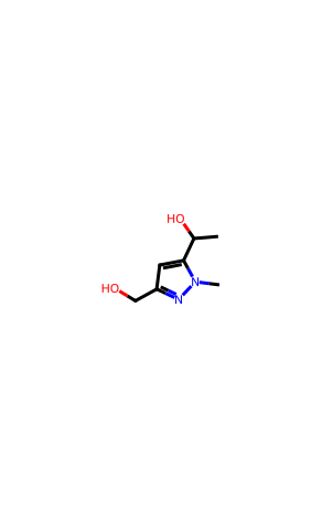 CC(O)c1cc(CO)nn1C